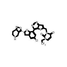 O=c1ccn(CC(F)(F)F)c(=O)n1Cc1cc2ncnc(-c3cc(Cl)cc4c3O[C@@H](c3onc5c3CNCC5)C4)c2s1